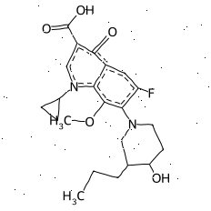 CCCC1CN(c2c(F)cc3c(=O)c(C(=O)O)cn(C4CC4)c3c2OC)CCC1O